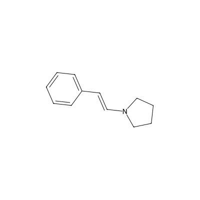 C(=CN1CCCC1)c1ccccc1